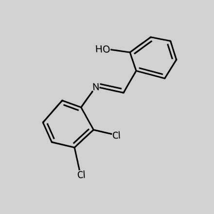 Oc1ccccc1C=Nc1cccc(Cl)c1Cl